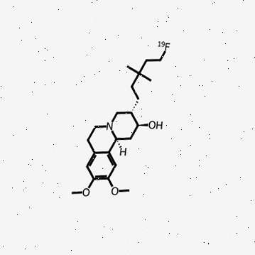 COc1cc2c(cc1OC)[C@@H]1C[C@H](O)[C@@H](CCC(C)(C)CC[19F])CN1CC2